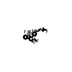 CC1Cc2c([nH]c3ccccc23)C(c2ccc(NCCN3CC(CF)C3)cc2OC(F)(F)F)N1CC(F)F